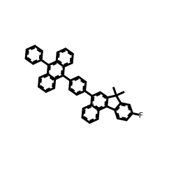 CC1(C)c2cc(F)ccc2-c2c1cc(-c1ccc(-c3c4ccccc4c(-c4ccccc4)c4ccccc34)cc1)c1ccccc21